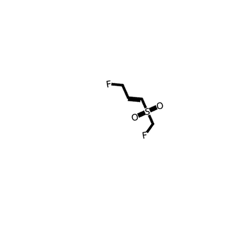 O=S(=O)(C=CCF)CF